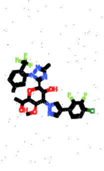 CO[C@H]1C(C(C)O)O[C@@H](c2nc(C)nn2-c2cc(C)ccc2C(F)(F)F)C(O)C1n1cc(-c2ccc(Cl)c(F)c2F)cn1